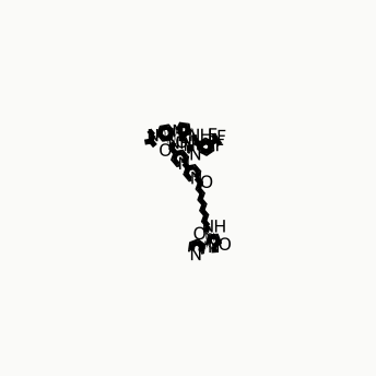 CC(C)N(C)[C@@H]1CC[C@H](N2CC[C@H](Nc3ncnc4ccc(C(F)(F)F)cc34)C2=O)[C@H](NC(=O)C2CCN(C3CCN(C(=O)CCCCCCCNC(=O)[C@@H]4CC(=O)N(C)[C@H]4c4cccnc4)CC3)CC2)C1